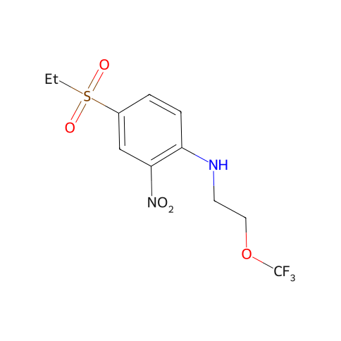 CCS(=O)(=O)c1ccc(NCCOC(F)(F)F)c([N+](=O)[O-])c1